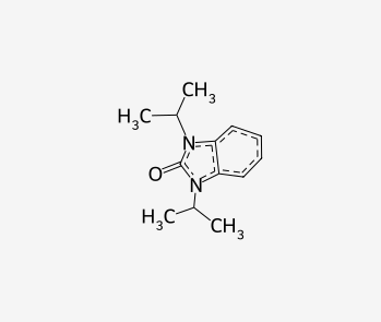 CC(C)n1c(=O)n(C(C)C)c2ccccc21